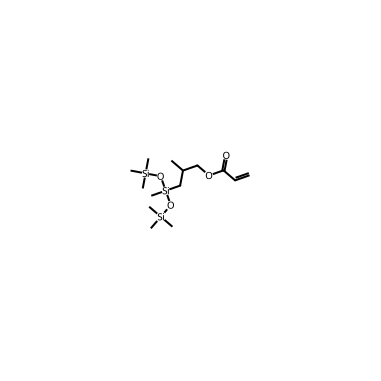 C=CC(=O)OCC(C)C[Si](C)(O[Si](C)(C)C)O[Si](C)(C)C